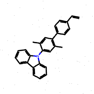 C=Cc1ccc(-c2cc(C)c(-n3c4ccccc4c4ccccc43)cc2C)cc1